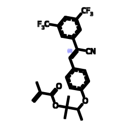 C=C(C)C(=O)OC(C)(C)C(C)Oc1ccc(/C=C(\C#N)c2cc(C(F)(F)F)cc(C(F)(F)F)c2)cc1